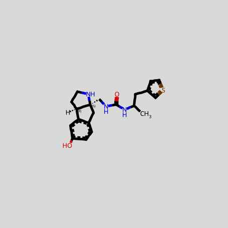 CC(Cc1ccsc1)NC(=O)NC[C@]12Cc3ccc(O)cc3[C@H]1CCN2